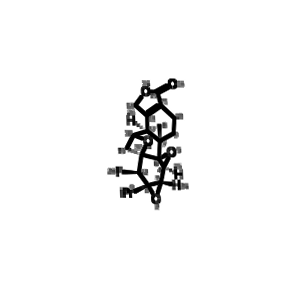 CC(C)[C@]12O[C@H]1[C@@H]1O[C@@]13[C@@]1(C)CCC4=C(COC4=O)[C@@H]1C1C[C@@]3(O1)[C@@H]2F